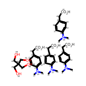 CN(C)c1ccc(CC(=O)O)cc1.CN(C)c1ccc(CC(=O)O)cc1.CN(C)c1ccc(CC(=O)O)cc1.CN(C)c1ccc(CC(=O)O)cc1.OCC(CO)(CO)CO